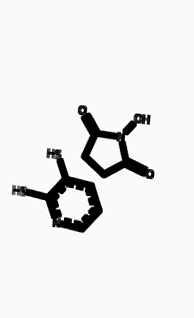 O=C1CCC(=O)N1O.Sc1cccnc1S